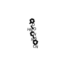 Cc1ccccc1OCC(=O)Nc1ccc(-c2nc3cc(C#N)ccc3s2)nc1